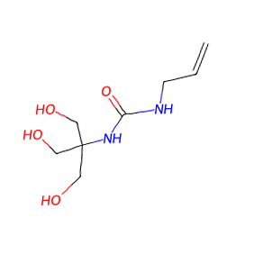 C=CCNC(=O)NC(CO)(CO)CO